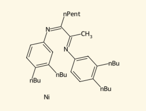 CCCCCC(=Nc1ccc(CCCC)c(CCCC)c1)C(C)=Nc1ccc(CCCC)c(CCCC)c1.[Ni]